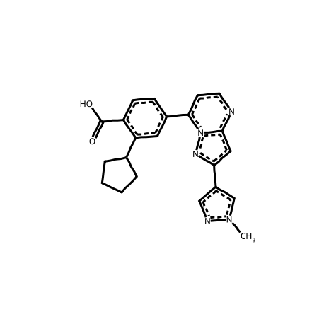 Cn1cc(-c2cc3nccc(-c4ccc(C(=O)O)c(C5CCCC5)c4)n3n2)cn1